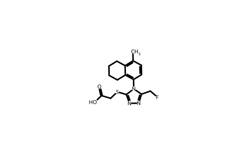 Cc1ccc(-n2c(CF)nnc2SCC(=O)O)c2c1CCCC2